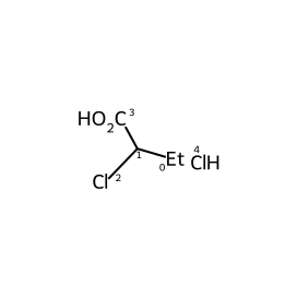 CCC(Cl)C(=O)O.Cl